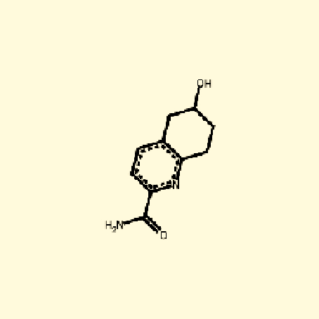 NC(=O)c1[c]cc2c(n1)CCC(O)C2